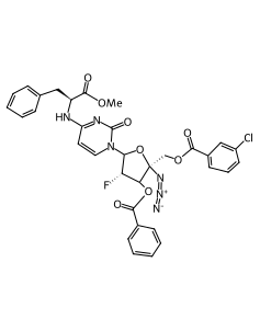 COC(=O)[C@H](Cc1ccccc1)Nc1ccn(C2O[C@@](COC(=O)c3cccc(Cl)c3)(N=[N+]=[N-])C(OC(=O)c3ccccc3)[C@@H]2F)c(=O)n1